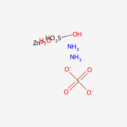 N.N.O.O=S(=O)(O)O.O=S(=O)([O-])[O-].[Zn+2]